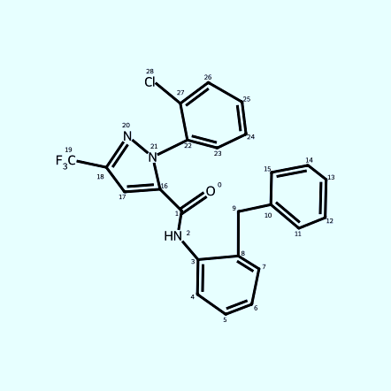 O=C(Nc1ccccc1Cc1ccccc1)c1cc(C(F)(F)F)nn1-c1ccccc1Cl